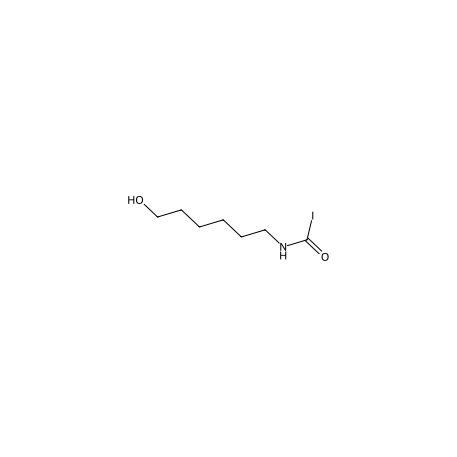 O=C(I)NCCCCCCO